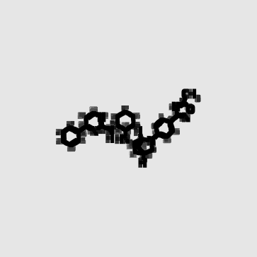 Cc1nc(-c2ccc(N3C[C@@H]4C[C@H](N[C@@H]5CCCC[C@H]5Nc5nccc(-c6ccccc6)n5)[C@H]3C4)cc2)no1